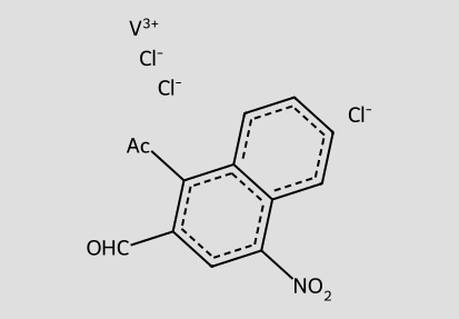 CC(=O)c1c(C=O)cc([N+](=O)[O-])c2ccccc12.[Cl-].[Cl-].[Cl-].[V+3]